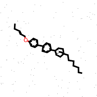 CCC=CCOc1ccc(-c2ccc(C34CCC(CCCCCCC)(CC3)CC4)cc2)cc1